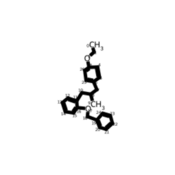 CCOc1ccc(CC(C)Cc2ccccc2OCc2ccccc2)cc1